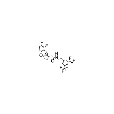 O=C(CC1CCC(=O)N1Cc1cccc(F)c1F)NCCc1cc(C(F)(F)F)cc(C(F)(F)F)c1